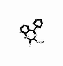 CCOC(=O)C1N=C(c2ccccc2)c2ccccc2NC1=O